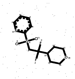 FC(F)(CS(Cl)(Cl)c1ccccn1)C1CCOCC1